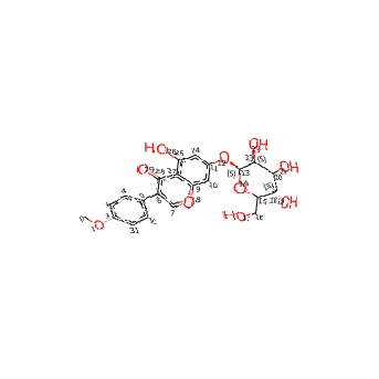 COc1ccc(-c2coc3cc(O[C@@H]4OC(CO)[C@@H](O)C(O)[C@@H]4O)cc(O)c3c2=O)cc1